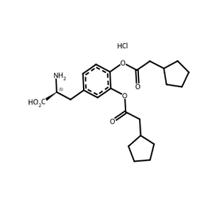 Cl.N[C@@H](Cc1ccc(OC(=O)CC2CCCC2)c(OC(=O)CC2CCCC2)c1)C(=O)O